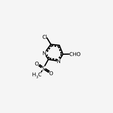 CS(=O)(=O)c1nc(Cl)cc(C=O)n1